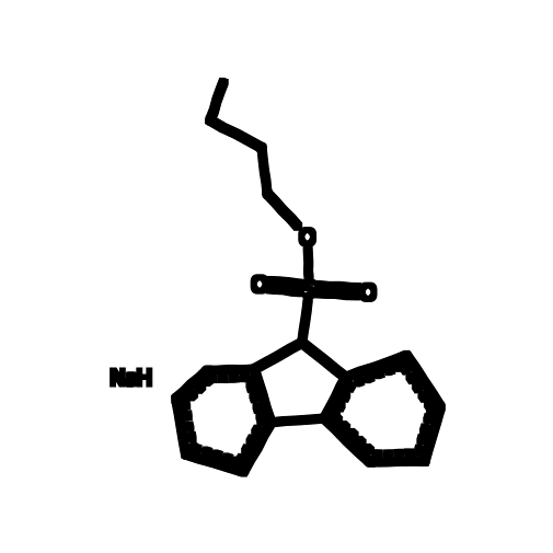 CCCCOS(=O)(=O)C1c2ccccc2-c2ccccc21.[NaH]